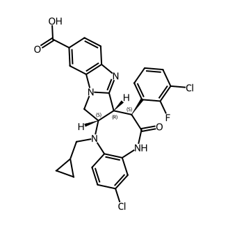 O=C(O)c1ccc2nc3n(c2c1)C[C@@H]1[C@H]3[C@@H](c2cccc(Cl)c2F)C(=O)Nc2cc(Cl)ccc2N1CC1CC1